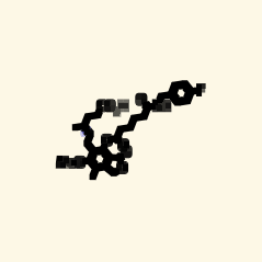 COc1c(C)c2c(c(OC(=O)CCCCC(=O)NCc3ccc(F)cc3)c1C/C=C(\C)CCC(=O)O)C(=O)OC2